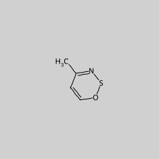 CC1=NSOC=C1